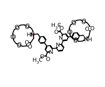 COC(=O)c1cc(-c2ccc(CN3C4NC3C3OC(O3)C3OC(O3)C3OC(O3)C3OC(O3)C3OC4O3)cc2)cc(-c2cccc(-c3cc(-c4ccc(CN5C6NC5C5OC(O5)C5OC(O5)C5OC(O5)C5OC(O5)C5OC6O5)cc4)cc(C(=O)OC)n3)n2)n1